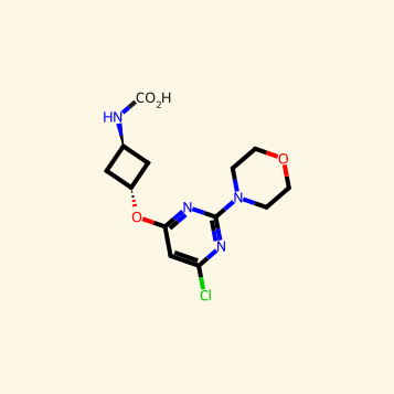 O=C(O)N[C@H]1C[C@H](Oc2cc(Cl)nc(N3CCOCC3)n2)C1